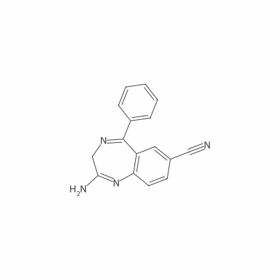 N#Cc1ccc2c(c1)C(c1ccccc1)=NCC(N)=N2